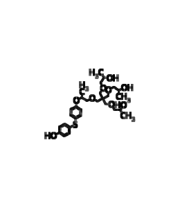 CC(O)COCC(COCC(C)O)(COCC(C)O)COCC(C)Oc1ccc(Sc2ccc(O)cc2)cc1